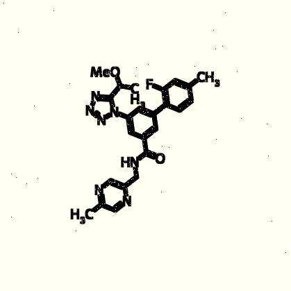 COC(C)c1nnnn1-c1cc(C(=O)NCc2cnc(C)cn2)cc(-c2ccc(C)cc2F)c1